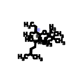 C/C=C(\C)[C@@H](O[Si](C)(C)C(C)(C)C)[C@H](C)[C@@H](O)CC=C(C)C